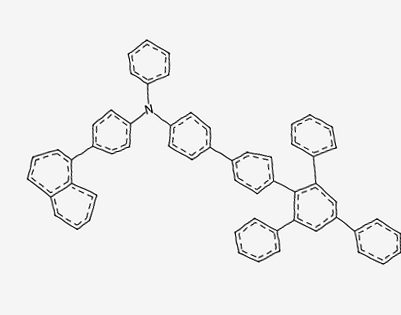 c1ccc(-c2cc(-c3ccccc3)c(-c3ccc(-c4ccc(N(c5ccccc5)c5ccc(-c6cccc7ccccc67)cc5)cc4)cc3)c(-c3ccccc3)c2)cc1